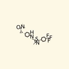 Cc1nc(-c2ccc(C(F)(F)F)cc2)sc1CNc1ccc([C@@H]2C[C@H]2C(=O)N(C)C)cc1